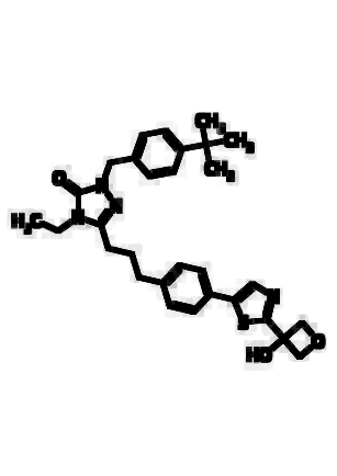 CCn1c(CCCc2ccc(-c3cnc(C4(O)COC4)s3)cc2)nn(Cc2ccc(C(C)(C)C)cc2)c1=O